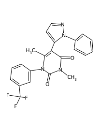 Cc1c(-c2ccnn2-c2ccccc2)c(=O)n(C)c(=O)n1-c1cccc(C(F)(F)F)c1